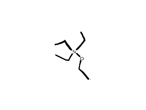 [CH2]CO[Si](CC)(CC)CC